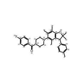 Cc1ccc(C2c3c(C)c(N4CCN(C(=O)c5ccc(F)cc5)CC4)c(C)c(C)c3OC2(C)C)cc1